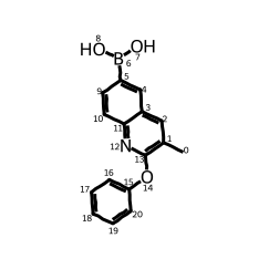 Cc1cc2cc(B(O)O)ccc2nc1Oc1ccccc1